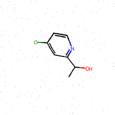 CC(O)c1cc(Cl)ccn1